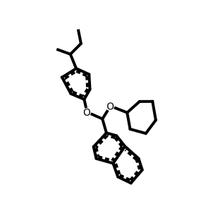 CCC(C)c1ccc(OC(OC2CCCCC2)c2ccc3ccccc3c2)cc1